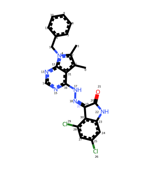 Cc1c(C)n(Cc2ccccc2)c2ncnc(N/N=C3\C(=O)Nc4cc(Cl)cc(Cl)c43)c12